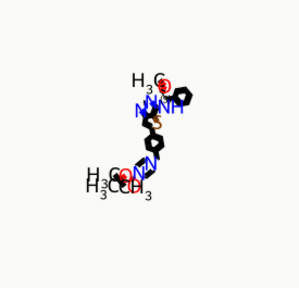 COC[C@@H](Nc1ncnc2cc(-c3ccc(CN4CCN(C(=O)OC(C)(C)C)CC4)cc3)sc12)c1ccccc1